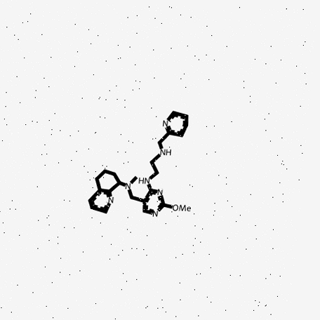 COc1ncc(CN(C)C2CCCc3cccnc32)c(NCCNCc2ccccn2)n1